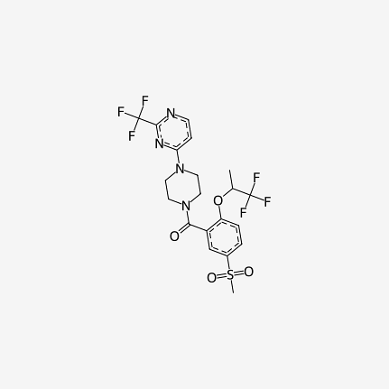 CC(Oc1ccc(S(C)(=O)=O)cc1C(=O)N1CCN(c2ccnc(C(F)(F)F)n2)CC1)C(F)(F)F